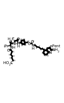 CCCCCc1cc2c(CCCCCNC(=O)OCc3ccc(NC(=O)[C@H](C)NC(=O)[C@@H](NC(=O)CCCCCC(=O)O)C(C)C)cc3)cccc2nc1N